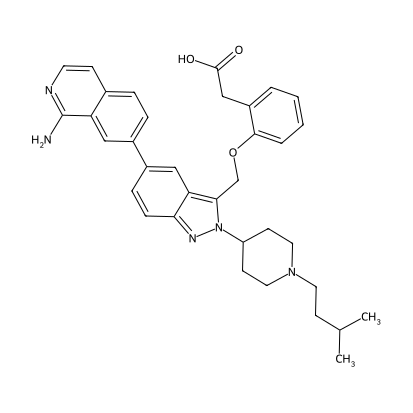 CC(C)CCN1CCC(n2nc3ccc(-c4ccc5ccnc(N)c5c4)cc3c2COc2ccccc2CC(=O)O)CC1